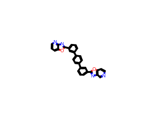 c1cc(-c2ccc(-c3cccc(-c4nc5ncccc5o4)c3)cc2)cc(-c2nc3cnccc3o2)c1